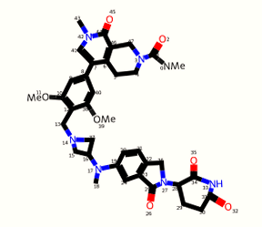 CNC(=O)N1CCc2c(-c3cc(OC)c(CN4CC(N(C)c5ccc6c(c5)C(=O)N(C5CCC(=O)NC5=O)C6)C4)c(OC)c3)cn(C)c(=O)c2C1